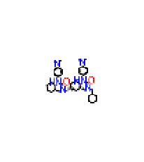 CN(C)c1ccc(NC(=O)N(CC2CCCCC2)C[C@@H]2CCC[C@@H](CN(CC3CCCCC3)C(=O)Nc3ccc(N(C)C)cc3)C2)cc1